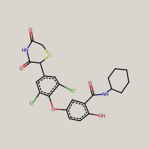 O=C1CSC(c2cc(Cl)c(Oc3ccc(O)c(C(=O)NC4CCCCC4)c3)c(Cl)c2)C(=O)N1